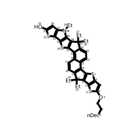 CCCCCCCCCCCCOc1cc2sc3c(c2s1)C(CC)(CC)c1ccc2c4c(ccc2c1-3)C(CC)(CC)c1c-4sc2c3sc(O)cc3n(CC)c12